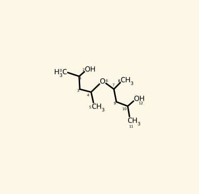 CC(O)CC(C)OC(C)CC(C)O